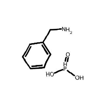 NCc1ccccc1.O=[PH](O)O